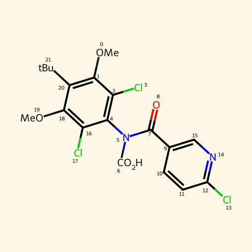 COc1c(Cl)c(N(C(=O)O)C(=O)c2ccc(Cl)nc2)c(Cl)c(OC)c1C(C)(C)C